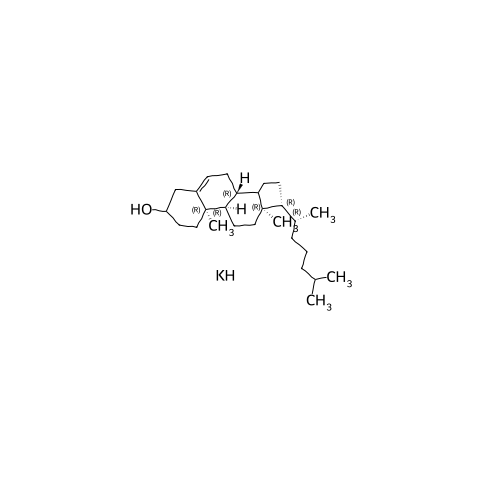 CC(C)CCC[C@@H](C)[C@H]1CCC2[C@H]3CC=C4CC(O)CC[C@]4(C)[C@@H]3CC[C@@]21C.[KH]